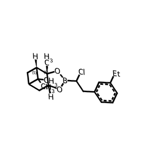 CCc1cccc(CC(Cl)B2O[C@@H]3CC4C[C@@H](C4(C)C)[C@]3(C)O2)c1